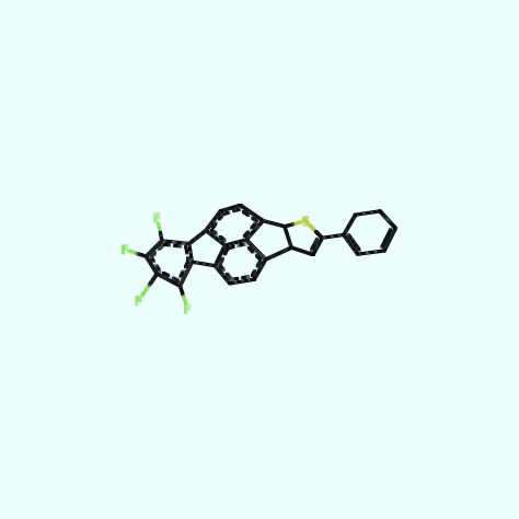 Fc1c(F)c(F)c2c(c1F)-c1ccc3c4c(ccc-2c14)C1SC(C2=CC=CCC2)=CC31